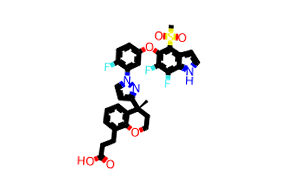 C[C@@]1(c2ccn(-c3cc(Oc4c(F)c(F)c5[nH]ccc5c4S(C)(=O)=O)ccc3F)n2)CCOc2c(CCC(=O)O)cccc21